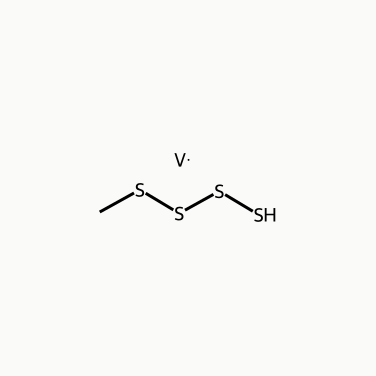 CSSSS.[V]